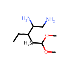 CCC([SiH2]C(OC)OC)C(N)CN